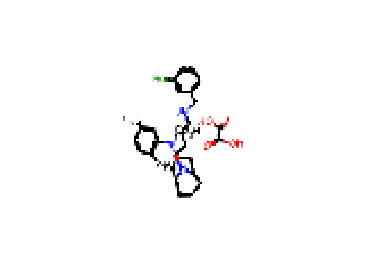 COc1ccc(C)cc1N(C(=O)O)C1CC2CCCC(C1)N2CCCCNCc1cccc(Br)c1.O=C(O)C(=O)O